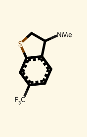 CNC1CSc2cc(C(F)(F)F)ccc21